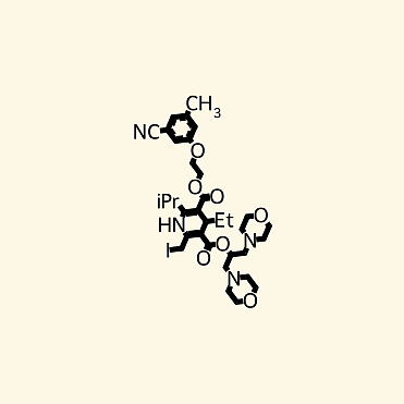 CCC1C(C(=O)OC(CN2CCOCC2)CN2CCOCC2)=C(CI)NC(C(C)C)=C1C(=O)OCCOc1cc(C)cc(C#N)c1